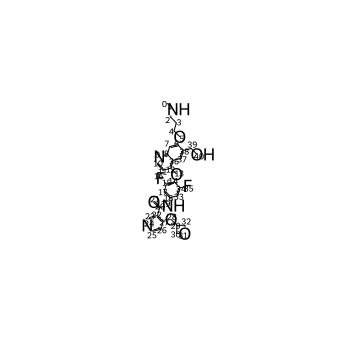 CNCCCOc1cc2nccc(Oc3c(F)cc(NC(=O)c4cnccc4OC4COC4)cc3F)c2cc1CO